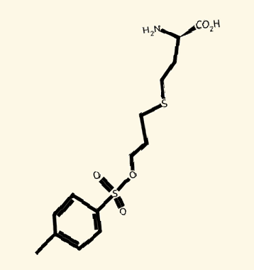 Cc1ccc(S(=O)(=O)OCCCSCC[C@@H](N)C(=O)O)cc1